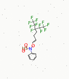 O=[SH](=O)N(OC=CCCC(F)(C(F)(F)C(F)(F)F)C(F)(F)C(F)(F)F)c1ccccc1